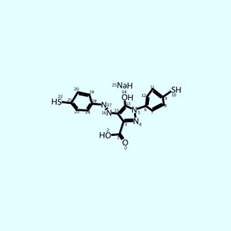 O=C(O)c1nn(-c2ccc(S)cc2)c(O)c1N=Nc1ccc(S)cc1.[NaH]